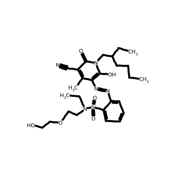 CCCCC(CC)Cn1c(O)c(/N=N/c2ccccc2S(=O)(=O)N(CC)CCOCCO)c(C)c(C#N)c1=O